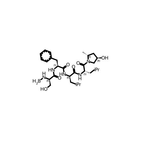 BN[C@H](CO)C(=O)N[C@@H](Cc1ccccc1)C(=O)N[C@H](CC(C)C)C(=O)N[C@@H](CC(C)C)C(=O)N1C[C@H](O)C[C@H]1C